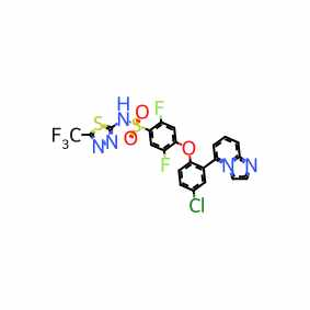 O=S(=O)(Nc1nnc(C(F)(F)F)s1)c1cc(F)c(Oc2ccc(Cl)cc2-c2cccc3nccn23)cc1F